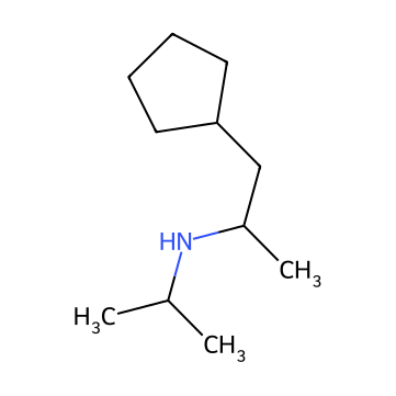 CC(C)NC(C)CC1CCCC1